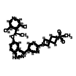 C[C@@H](Oc1ccc2[nH]nc(-c3cnc(N4CC5(C4)CN(S(C)(=O)=O)C5)nc3)c2c1)c1c(Cl)cncc1Cl